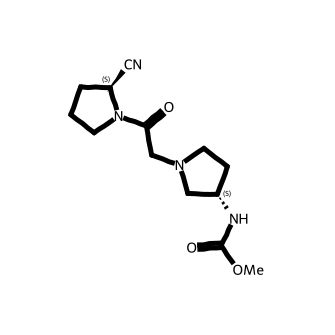 COC(=O)N[C@H]1CCN(CC(=O)N2CCC[C@H]2C#N)C1